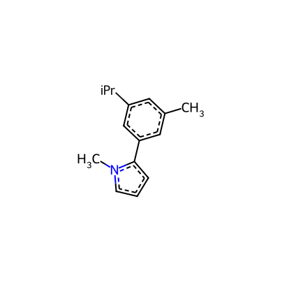 Cc1cc(-c2cccn2C)cc(C(C)C)c1